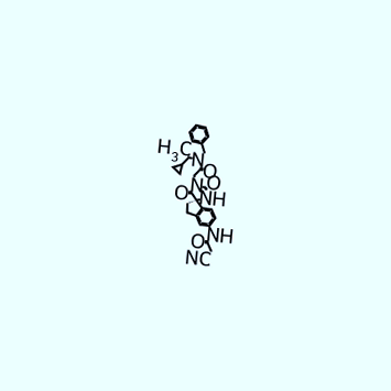 C[C@@H](C1CC1)N(Cc1ccccc1)C(=O)CN1C(=O)N[C@]2(CCc3cc(NC(=O)CC#N)ccc32)C1=O